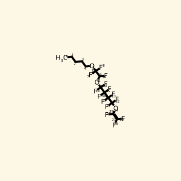 CCCCCOC(F)(F)C(F)OC(F)(F)C(F)(F)C(F)(F)C(F)(F)OC(F)=C(F)F